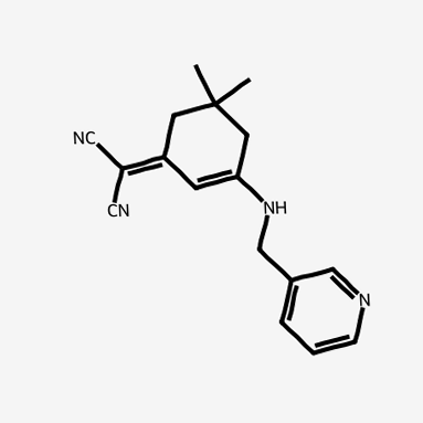 CC1(C)CC(NCc2cccnc2)=CC(=C(C#N)C#N)C1